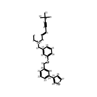 CCN(C/C=C/C#CC(C)(C)C)Cc1cccc(SCc2cccc(-c3ccsc3)c2)c1